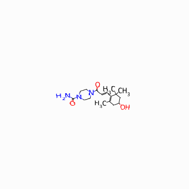 CC1=C(/C=C/C(=O)N2CCN(C(N)=O)CC2)C(C)(C)CC(O)C1